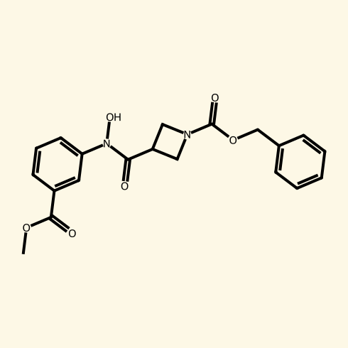 COC(=O)c1cccc(N(O)C(=O)C2CN(C(=O)OCc3ccccc3)C2)c1